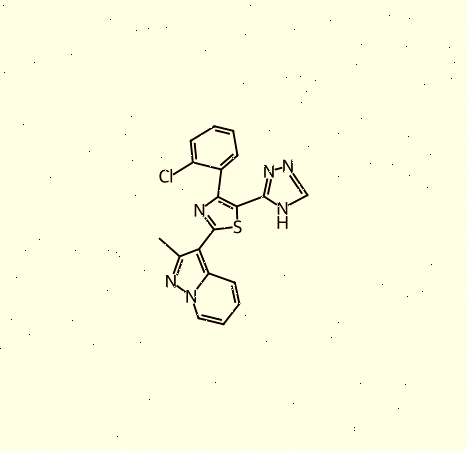 Cc1nn2ccccc2c1-c1nc(-c2ccccc2Cl)c(-c2nnc[nH]2)s1